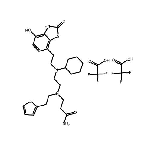 NC(=O)CCN(CCc1cccs1)CCN(CCc1ccc(O)c2[nH]c(=O)sc12)C1CCCCC1.O=C(O)C(F)(F)F.O=C(O)C(F)(F)F